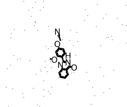 COc1cc(OCC#N)ccc1-c1nc2ccccc2c(=O)[nH]1